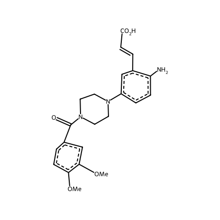 COc1ccc(C(=O)N2CCN(c3ccc(N)c(C=CC(=O)O)c3)CC2)cc1OC